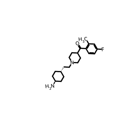 Cc1cc(F)ccc1C(=O)C1CCN(CC[C@H]2CC[C@H](N)CC2)CC1